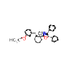 CO[C@]1(c2nc(-c3ccccc3)c(-c3ccccc3)o2)CCCC[C@@H]1Cc1cccc(OCC(=O)O)c1